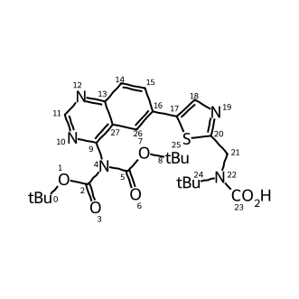 CC(C)(C)OC(=O)N(C(=O)OC(C)(C)C)c1ncnc2ccc(-c3cnc(CN(C(=O)O)C(C)(C)C)s3)cc12